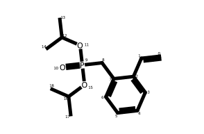 C=Cc1ccccc1CP(=O)(OC(C)C)OC(C)C